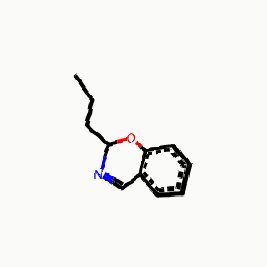 CCCC1N=Cc2ccccc2O1